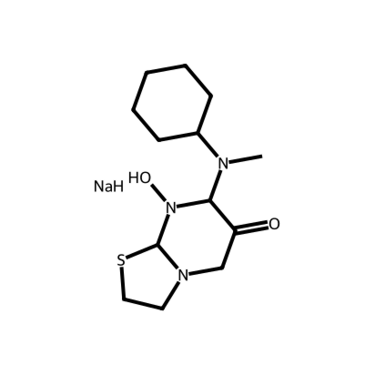 CN(C1CCCCC1)C1C(=O)CN2CCSC2N1O.[NaH]